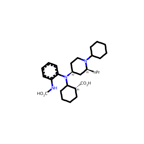 CCC[C@H]1C[C@@H](N(c2ccccc2NC(=O)O)C2CCCC[C@H]2C(=O)O)CCN1C1CCCCC1